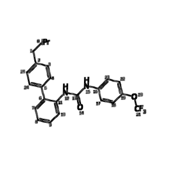 CC(C)Cc1ccc(-c2ccccc2NC(=O)Nc2ccc(OC(F)(F)F)cc2)cc1